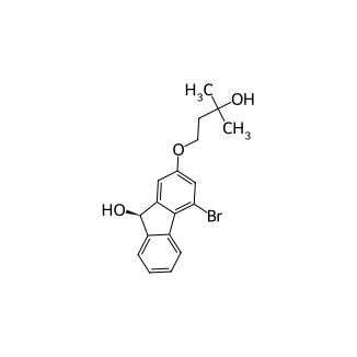 CC(C)(O)CCOc1cc(Br)c2c(c1)[C@H](O)c1ccccc1-2